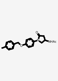 CC(=O)NC1CC(=O)N(c2ccc(OCc3ccc(C)cc3)cc2)C1